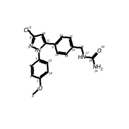 COc1ccc(-n2nc(Cl)cc2-c2ccc(CNC(N)=O)cc2)cc1